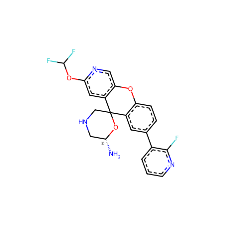 N[C@@H]1CNCC2(O1)c1cc(-c3cccnc3F)ccc1Oc1cnc(OC(F)F)cc12